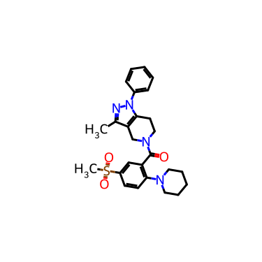 Cc1nn(-c2ccccc2)c2c1CN(C(=O)c1cc(S(C)(=O)=O)ccc1N1CCCCC1)CC2